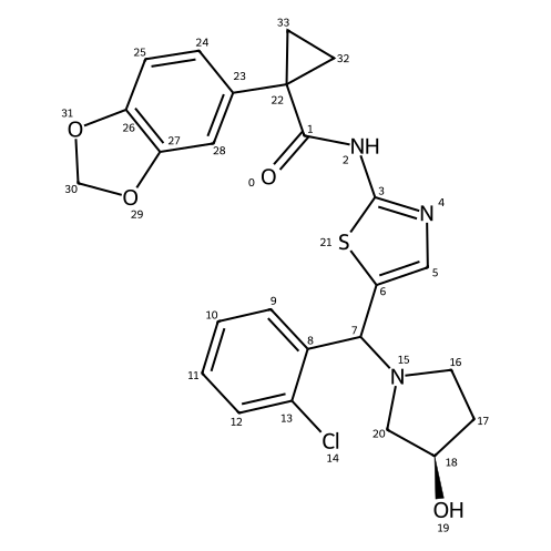 O=C(Nc1ncc(C(c2ccccc2Cl)N2CC[C@@H](O)C2)s1)C1(c2ccc3c(c2)OCO3)CC1